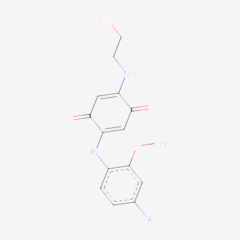 COc1cc(N)ccc1NC1=CC(=O)C(NCCO)=CC1=O